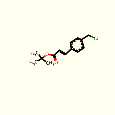 CC(C)(C)OC(=O)/C=C/c1ccc(CCl)cc1